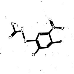 CC(=O)NOc1cc([N+](=O)[O-])c(F)cc1Cl